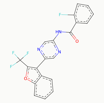 O=C(Nc1cnc(-c2c(C(F)(F)F)oc3ccccc23)cn1)c1ccccc1F